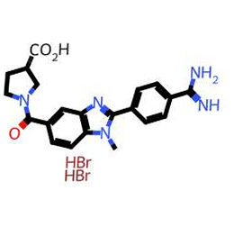 Br.Br.Cn1c(-c2ccc(C(=N)N)cc2)nc2cc(C(=O)N3CCC(C(=O)O)C3)ccc21